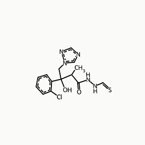 CC(C(=O)NNC=S)C(O)(Cn1cncn1)c1ccccc1Cl